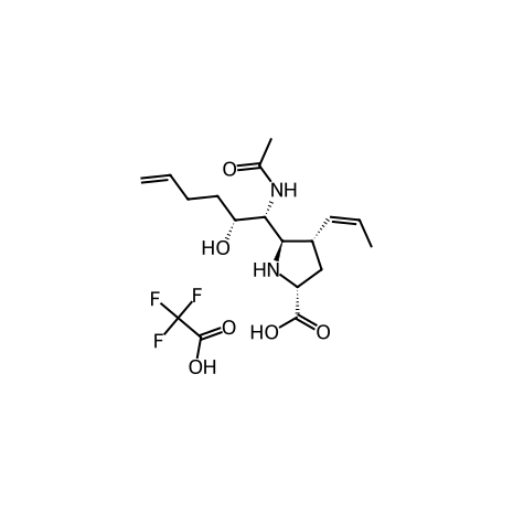 C=CCC[C@@H](O)[C@H](NC(C)=O)[C@@H]1N[C@@H](C(=O)O)C[C@H]1/C=C\C.O=C(O)C(F)(F)F